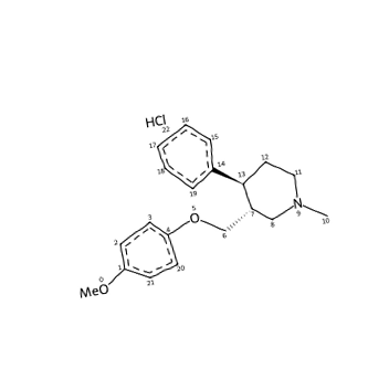 COc1ccc(OC[C@H]2CN(C)CC[C@@H]2c2ccccc2)cc1.Cl